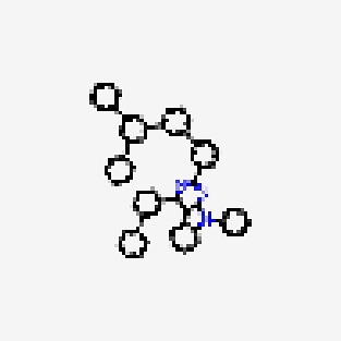 c1ccc(-c2cc(-c3ccccc3)cc(-c3cccc(-c4cccc(-c5nc(-c6cccc(-c7ccccc7)c6)c6c7ccccc7n(-c7ccccc7)c6n5)c4)c3)c2)cc1